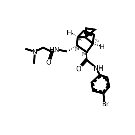 CN(C)CC(=O)NC[C@H]1[C@H](C(=O)Nc2ccc(Br)cc2)[C@@H]2C=C[C@H]1C21CC1